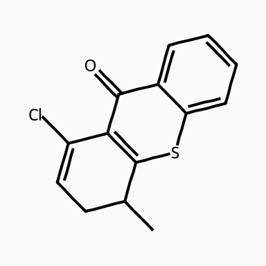 CC1CC=C(Cl)c2c1sc1ccccc1c2=O